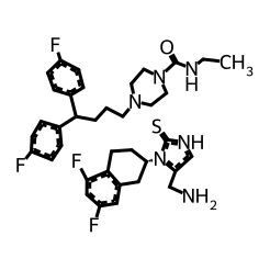 CCNC(=O)N1CCN(CCCC(c2ccc(F)cc2)c2ccc(F)cc2)CC1.NCc1c[nH]c(=S)n1[C@H]1CCc2c(F)cc(F)cc2C1